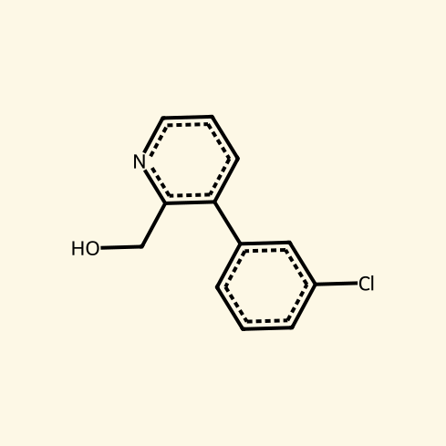 OCc1ncccc1-c1cccc(Cl)c1